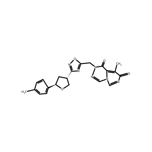 Cc1ccc([C@H]2C[C@H](c3noc(Cn4ncn5cnc(=O)c(C)c5c4=O)n3)CO2)cc1